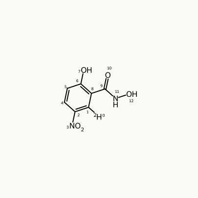 [2H]c1c([N+](=O)[O-])ccc(O)c1C(=O)NO